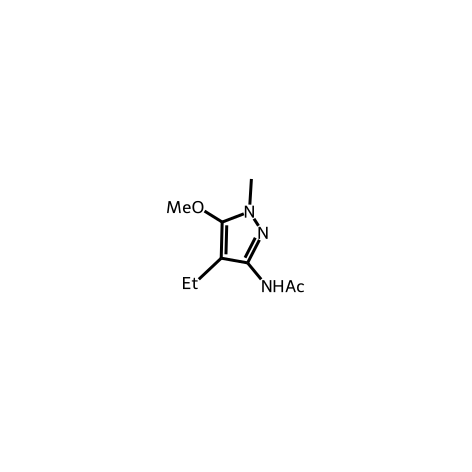 CCc1c(NC(C)=O)nn(C)c1OC